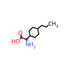 CCCC1CCC([C@@H](N)C(=O)O)CC1